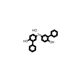 Cl.Oc1ccc([Te]c2ccc(O)c(-c3ccccc3)c2)cc1-c1ccccc1